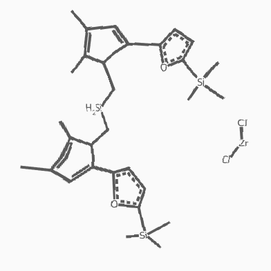 CC1=C(C)C(C[SiH2]CC2C(c3ccc([Si](C)(C)C)o3)=CC(C)=C2C)C(c2ccc([Si](C)(C)C)o2)=C1.[Cl][Zr][Cl]